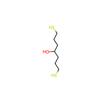 OC(CCCS)CCCS